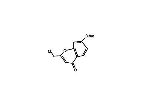 COc1ccc2c(=O)cc(CCl)oc2c1